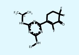 CCNc1nc(N[C@H](C)C(F)(F)F)nc(C2=C(F)C(=O)C(F)(F)CC2)n1